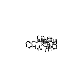 CCOC(=O)[C@H](CCc1ccccc1)N[C@@H](C)C(=O)N1[C@H](C(C)=O)C[C@@H]2CCC[C@@H]21